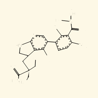 CC[C@]1(C(N)=O)CC[C@@]2(CNc3ncc(-c4ccc(N)c(C(=O)N(C)C)c4F)c(Cl)c32)C1